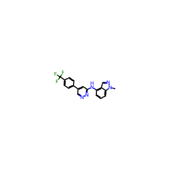 Cn1ncc2c(Nc3cc(-c4ccc(C(F)(F)F)cc4)cnn3)cccc21